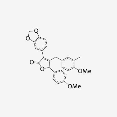 COc1ccc(C2OC(=O)C(c3ccc4c(c3)OCO4)=C2Cc2ccc(OC)c(C)c2)cc1